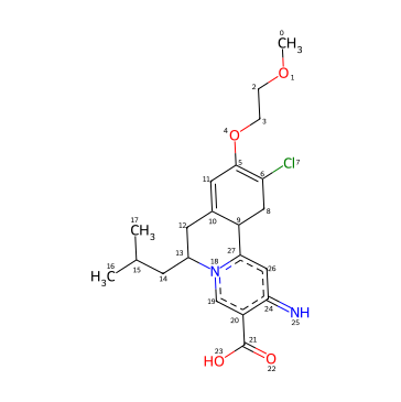 COCCOC1=C(Cl)CC2C(=C1)CC(CC(C)C)n1cc(C(=O)O)c(=N)cc12